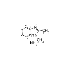 Cc1nc2ccccc2n1C.N